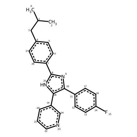 CC(C)Cc1ccc(-c2nc(-c3ccc(F)cc3)c(-c3cccnc3)[nH]2)cc1